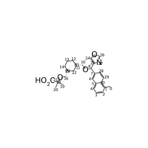 Cc1cccc2cc(C(OC[C@H]3CCC[C@@H](COC(C)(C)C(=O)O)C3)c3cocn3)ccc12